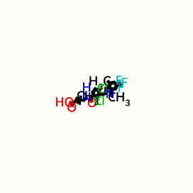 Cc1cc(C(F)(F)F)cc2c1cc(Cc1c(Cl)ccc(C(=O)NCC3(C)CC(C(=O)O)C3)c1Cl)n2C